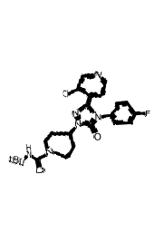 CC(C)(C)NC(=O)N1CCC(n2nc(-c3ccncc3Cl)n(-c3ccc(F)cc3)c2=O)CC1